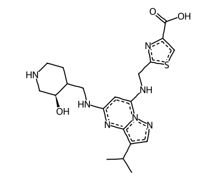 CC(C)c1cnn2c(NCc3nc(C(=O)O)cs3)cc(NCC3CCNC[C@@H]3O)nc12